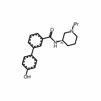 CC(C)N1CCC[C@@H](NC(=O)c2cccc(-c3ccc(O)cc3)c2)C1